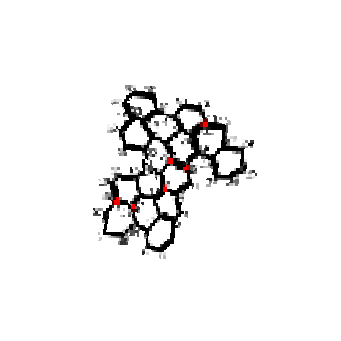 C1=Cc2cccc(-c3ccccc3N(c3cccc(-c4cccc5ccccc45)c3)c3ccccc3-c3cccc4cccc(-c5ccccc5)c34)c2C(C2CCCCC2)C1